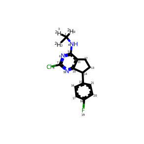 [2H]C([2H])([2H])Nc1nc(Cl)nc2c1CCC2c1ccc(F)cc1